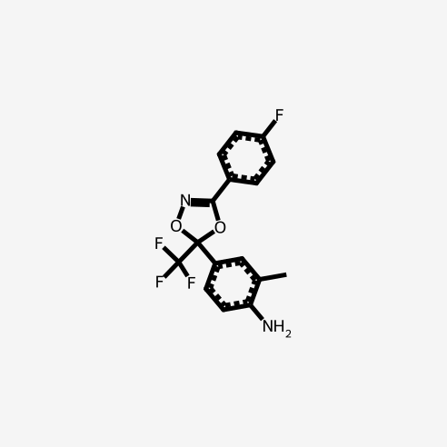 Cc1cc(C2(C(F)(F)F)ON=C(c3ccc(F)cc3)O2)ccc1N